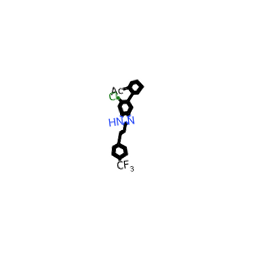 CC(=O)c1ccccc1-c1cc2nc(/C=C/c3ccc(C(F)(F)F)cc3)[nH]c2cc1Cl